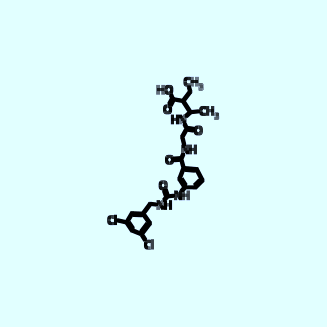 CCC(C(=O)O)C(C)NC(=O)CNC(=O)c1cccc(NC(=O)NCc2cc(Cl)cc(Cl)c2)c1